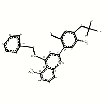 Cc1cc(CC(C)(C)F)c(Cl)cc1-c1cc(OCc2ccccc2)c2c(C#N)nccc2n1